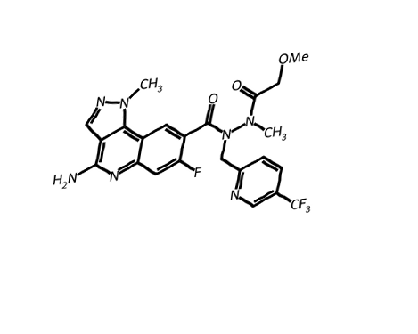 COCC(=O)N(C)N(Cc1ccc(C(F)(F)F)cn1)C(=O)c1cc2c(cc1F)nc(N)c1cnn(C)c12